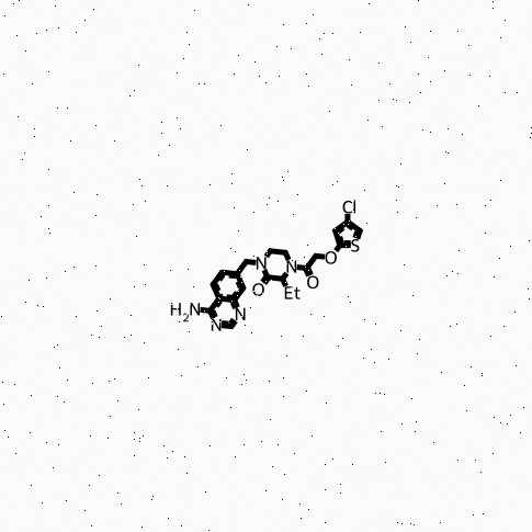 CCC1C(=O)N(Cc2ccc3c(N)ncnc3c2)CCN1C(=O)COc1cc(Cl)cs1